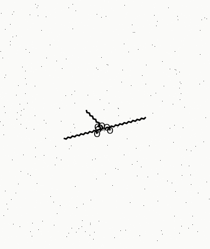 CCCCCCCCCCCCCCCCCC(=O)OC[C@H](COC(=O)CCCCCCCCCCCCCCC)OC(=O)CCCCCCCCC